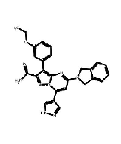 CCOc1cccc(-c2c(C(N)=O)nn3c(-c4cn[nH]c4)cc(N4Cc5ccccc5C4)nc23)c1